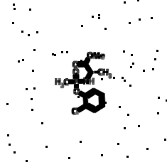 COC(=O)[C@H](C)NP(C)(=O)Oc1ccccc1Cl